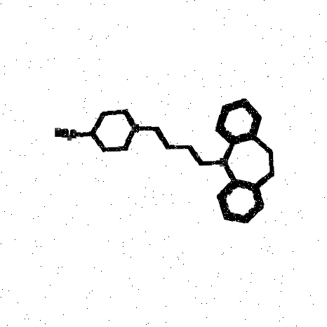 CCOC(=O)C1CCN(CCCCN2c3ccccc3CCc3ccccc32)CC1